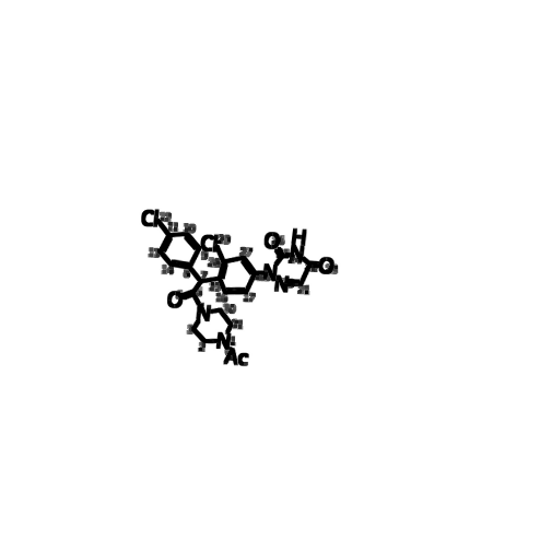 CC(=O)N1CCN(C(=O)C(c2ccc(Cl)cc2)c2ccc(-n3ncc(=O)[nH]c3=O)cc2Cl)CC1